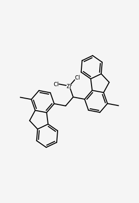 Cc1ccc(C[CH](c2ccc(C)c3c2-c2ccccc2C3)[Zr]([Cl])[Cl])c2c1Cc1ccccc1-2